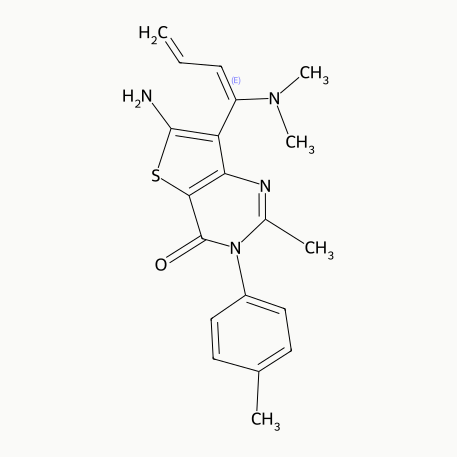 C=C/C=C(\c1c(N)sc2c(=O)n(-c3ccc(C)cc3)c(C)nc12)N(C)C